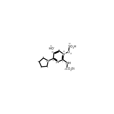 CCOC(=O)Nc1nc(N2CCCC2)cc[n+]1OS(=O)(=O)O.[OH-]